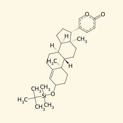 CC(C)(C)[Si](C)(C)OC1C=C2CC[C@H]3[C@H]4CC[C@H](c5ccc(=O)oc5)[C@@]4(C)CC[C@@H]3[C@@]2(C)CC1